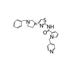 O=C(Nc1nc([C@@H]2CCN(Cc3ccccc3)C2)cs1)c1cccn1Cc1ccncc1